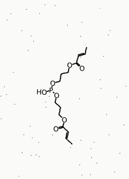 CC=CC(=O)OCCCOP(O)OCCCOC(=O)C=CC